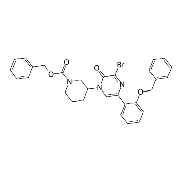 O=C(OCc1ccccc1)N1CCCC(n2cc(-c3ccccc3OCc3ccccc3)nc(Br)c2=O)C1